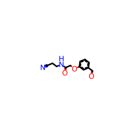 N#CCCNC(=O)COc1cccc(C=O)c1